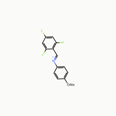 COc1ccc(/N=C/c2c(F)cc(F)cc2F)cc1